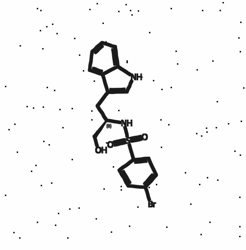 O=S(=O)(N[C@@H](CO)Cc1c[nH]c2ccccc12)c1ccc(Br)cc1